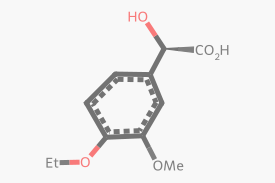 CCOc1ccc([C@@H](O)C(=O)O)cc1OC